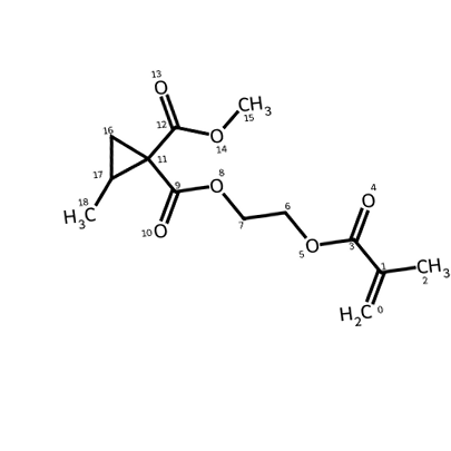 C=C(C)C(=O)OCCOC(=O)C1(C(=O)OC)CC1C